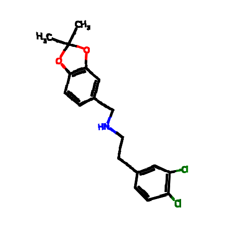 CC1(C)Oc2ccc(CNCCc3ccc(Cl)c(Cl)c3)cc2O1